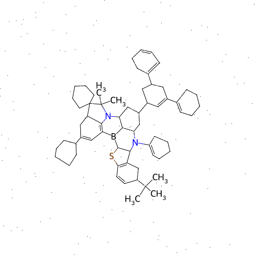 CC(C)(C)C1C=CC2=C(C1)C1C(S2)B2C3=C4C(CC(C5CCCCC5)=C3)C3(CCCCC3)C(C)(C)N4C3CC(C4C=C(C5=CCCCC5)CC(C5=CC=CCC5)C4)CC(C23)N1C1=CCCCC1